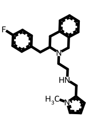 Cn1cccc1CNCCN1Cc2ccccc2CC1Cc1ccc(F)cc1